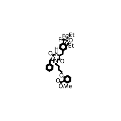 CCOP(=O)(OCC)C(F)(F)c1ccc(CC(NC(=O)OCc2ccccc2)C(=O)NCCCCOc2ccccc2C(=O)OC)cc1